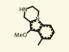 COc1c2n(c3cccc(C)c13)CCNC2